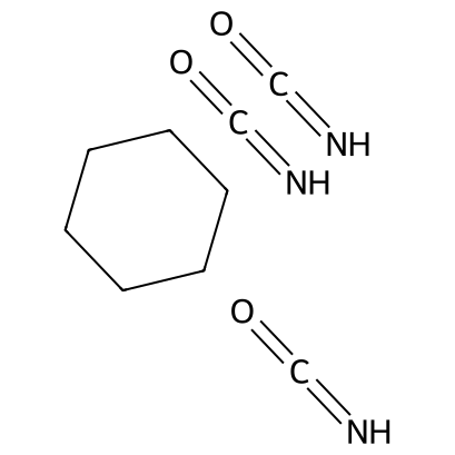 C1CCCCC1.N=C=O.N=C=O.N=C=O